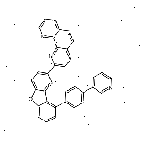 c1cncc(-c2ccc(-c3cccc4oc5ccc(-c6ccc7ccc8cccnc8c7n6)cc5c34)cc2)c1